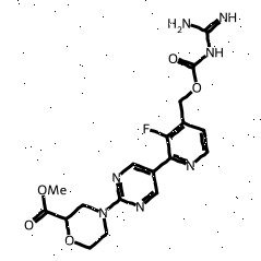 COC(=O)C1CN(c2ncc(-c3nccc(COC(=O)NC(=N)N)c3F)cn2)CCO1